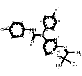 CC(=Nc1nccc(N(C(=O)Nc2ccc(Cl)cc2)c2ccc(F)cc2)n1)C(C)(C)O